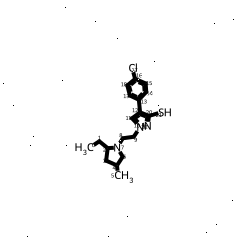 CCC1CC(C)CN1CCn1cc(-c2ccc(Cl)cc2)c(S)n1